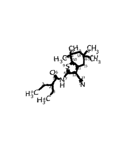 CCC(CC)C(=O)Nc1sc2c(c1C#N)CC(C)(C)CC2(C)C